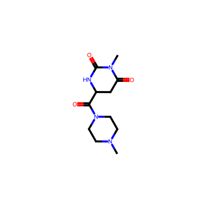 CN1CCN(C(=O)C2CC(=O)N(C)C(=O)N2)CC1